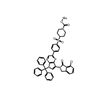 CC(C)(C)OC(=O)N1CCC(S(=O)(=O)c2ccc(-c3cnc4c(n3)c(N3Cc5cccc(Cl)c5C3=O)cn4C(c3ccccc3)(c3ccccc3)c3ccccc3)cc2)CC1